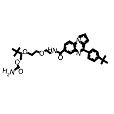 CC(C)(C)c1ccc(-c2nc3cc(C(=O)NCCOCCOC(COC(N)=O)C(C)(C)C)ccc3n3cccc23)cc1